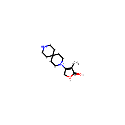 CC1=C(N2CCC3(CCNCC3)CC2)COC1=O